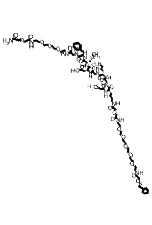 CSCC(=O)N[C@@H](CCCCNC(=O)COCC(=O)NCCOCCOCCOCCOCCOCCNC(=O)CO/N=C/c1ccccc1)C(=O)NCC(=O)N[C@@H](CCCN)C(=O)NCC(=O)N[C@@H](CC(=O)O)C(=O)N[C@@H](CSSC)C(=O)N[C@@H](Cc1ccccc1)C(=O)NCC(=O)NCCOCCOCCOCCNC(=O)COCC(N)=O